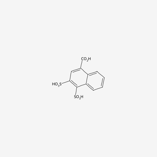 O=C(O)c1cc(S(=O)(=O)O)c(S(=O)(=O)O)c2ccccc12